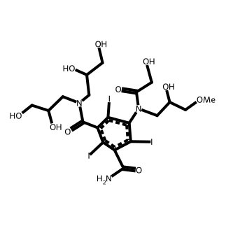 COCC(O)CN(C(=O)CO)c1c(I)c(C(N)=O)c(I)c(C(=O)N(CC(O)CO)CC(O)CO)c1I